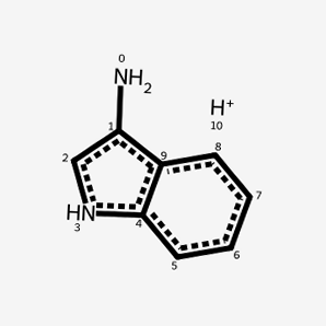 Nc1c[nH]c2ccccc12.[H+]